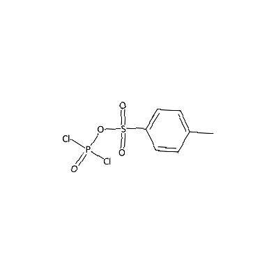 Cc1ccc(S(=O)(=O)OP(=O)(Cl)Cl)cc1